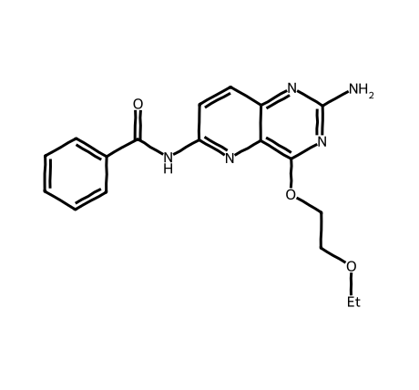 CCOCCOc1nc(N)nc2ccc(NC(=O)c3ccccc3)nc12